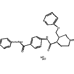 Cl.Cl.O=C(Nc1ccccc1)c1ccc(NC(=O)N2CCNCC2COc2cccnc2)cc1